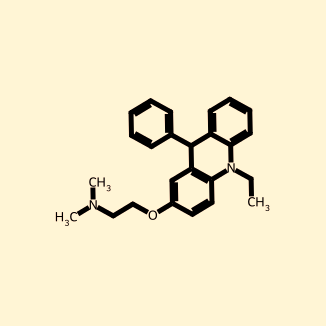 CCN1c2ccccc2C(c2ccccc2)c2cc(OCCN(C)C)ccc21